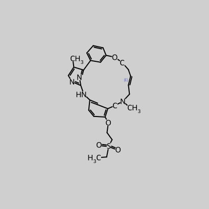 CCS(=O)(=O)CCOc1ccc2cc1CN(C)C/C=C/CCOc1cccc(c1)-c1nc(ncc1C)N2